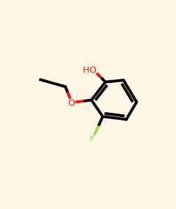 CCOc1c(O)cccc1F